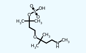 CNCCC(C)(C)OCCC(C)(C)OS(=O)(=O)O